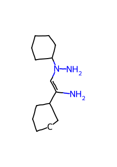 N/C(=C\N(N)C1CCCCC1)C1CCCCC1